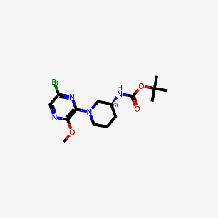 COc1ncc(Br)nc1N1CCC[C@H](NC(=O)OC(C)(C)C)C1